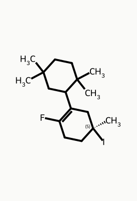 CC1(C)CCC(C)(C)C(C2=C(F)CC[C@](C)(I)C2)C1